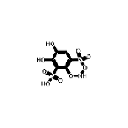 O=S(=O)(O)c1c(O)c(O)cc2c1ONOS2(=O)=O